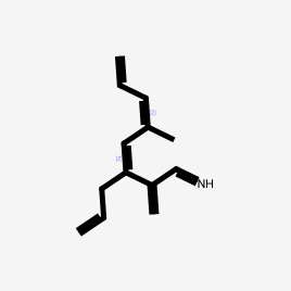 C=C/C=C(C)\C=C(\CC=C)C(=C)C=N